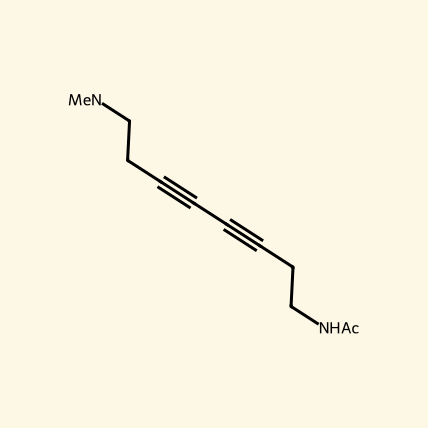 CNCCC#CC#CCCNC(C)=O